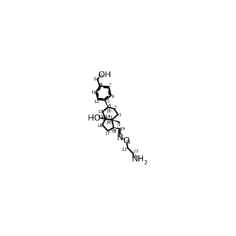 C[C@]12CC[C@H](c3ccc(CO)cc3)C[C@@]1(O)CC[C@@H]2C=NOCCN